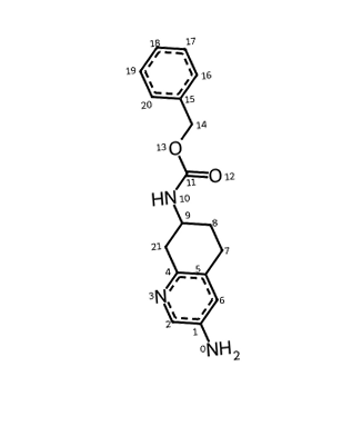 Nc1cnc2c(c1)CCC(NC(=O)OCc1ccccc1)C2